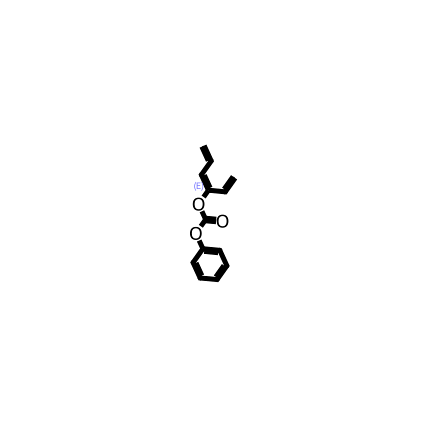 C=C/C=C(\C=C)OC(=O)Oc1ccccc1